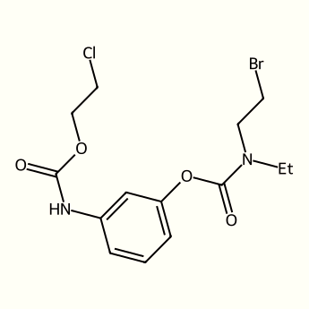 CCN(CCBr)C(=O)Oc1cccc(NC(=O)OCCCl)c1